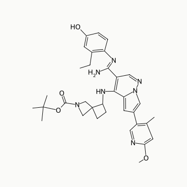 CCc1cc(O)ccc1/N=C(\N)c1cnn2cc(-c3cnc(OC)cc3C)cc2c1NC1CCC12CN(C(=O)OC(C)(C)C)C2